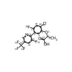 CC(Oc1cc(-c2ncc(C(F)(F)F)cc2F)c(F)cc1Cl)C(=O)O